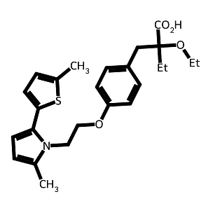 CCOC(CC)(Cc1ccc(OCCn2c(C)ccc2-c2ccc(C)s2)cc1)C(=O)O